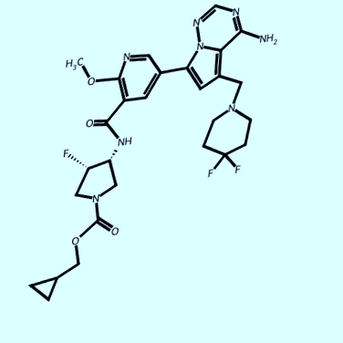 COc1ncc(-c2cc(CN3CCC(F)(F)CC3)c3c(N)ncnn23)cc1C(=O)N[C@@H]1CN(C(=O)OCC2CC2)C[C@@H]1F